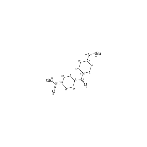 CC(C)(C)NC1CCN(C(=O)[C@H]2CC[C@@H](C(=O)C(C)(C)C)CC2)CC1